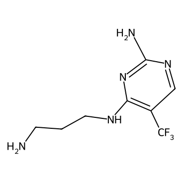 NCCCNc1nc(N)ncc1C(F)(F)F